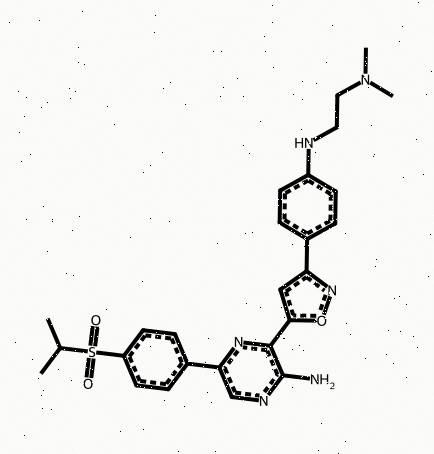 CC(C)S(=O)(=O)c1ccc(-c2cnc(N)c(-c3cc(-c4ccc(NCCN(C)C)cc4)no3)n2)cc1